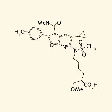 CNC(=O)c1c(-c2ccc(C)cc2)oc2nc(N(CCCC[C@H](COC)C(=O)O)S(C)(=O)=O)c(C3CC3)cc12